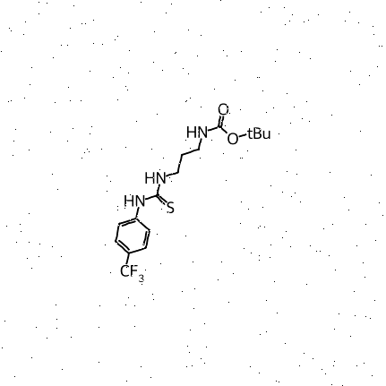 CC(C)(C)OC(=O)NCCCNC(=S)Nc1ccc(C(F)(F)F)cc1